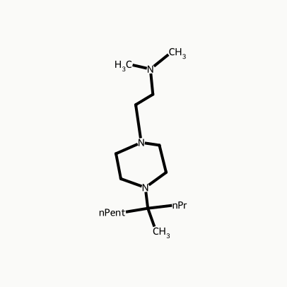 CCCCCC(C)(CCC)N1CCN(CCN(C)C)CC1